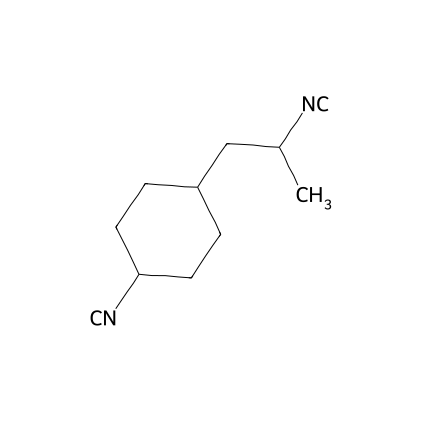 [C-]#[N+]C(C)CC1CCC([N+]#[C-])CC1